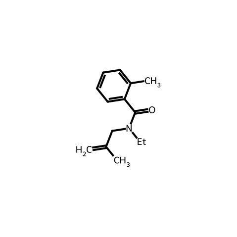 C=C(C)CN(CC)C(=O)c1ccccc1C